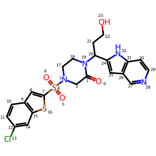 O=C1CN(S(=O)(=O)c2cc3ccc(Cl)cc3s2)CCN1C(CCO)c1cc2cnccc2[nH]1